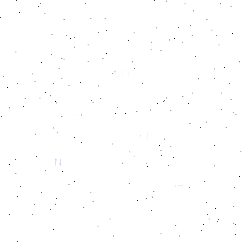 Clc1cc(Cl)c(Sc2c(Cl)cc(Cl)cc2Cl)c(Cl)c1.OCCNCCc1cncnc1